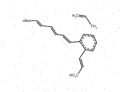 C=CC.CCCCCCCCCC=CC=CC=Cc1ccccc1C=CC(=O)O